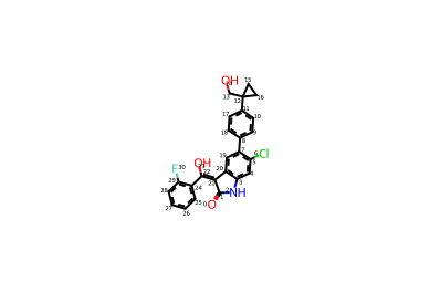 O=C1Nc2cc(Cl)c(-c3ccc(C4(CO)CC4)cc3)cc2C1=C(O)c1ccccc1F